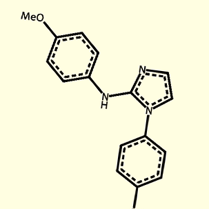 COc1ccc(Nc2nccn2-c2ccc(OC)cc2)cc1